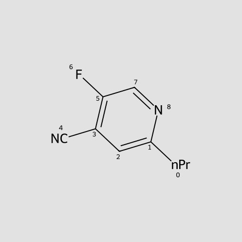 CCCc1cc(C#N)c(F)cn1